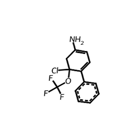 NC1=CC=C(c2ccccc2)C(Cl)(OC(F)(F)F)C1